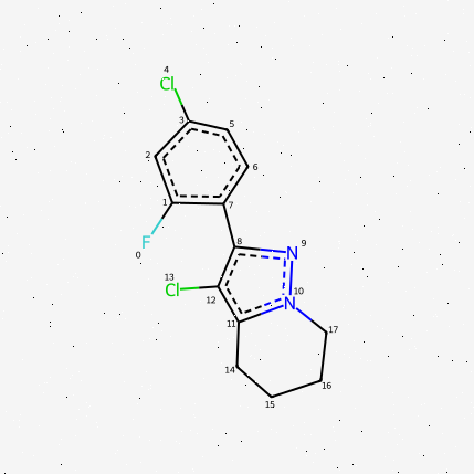 Fc1cc(Cl)ccc1-c1nn2c(c1Cl)CCCC2